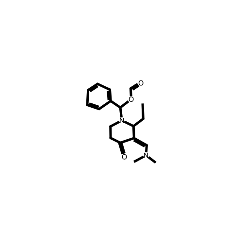 CCC1C(=CN(C)C)C(=O)CCN1C(OC=O)c1ccccc1